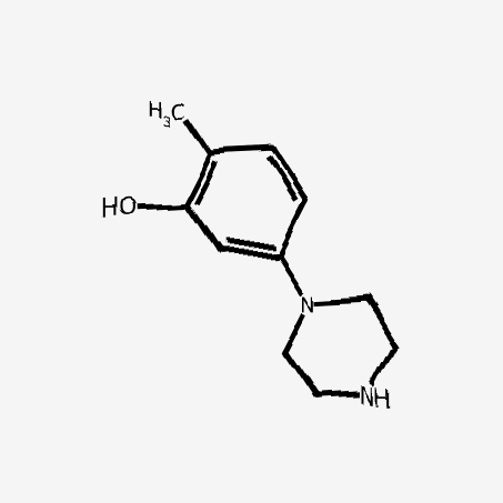 Cc1ccc(N2CCNCC2)cc1O